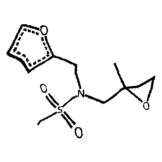 CC1(CN(Cc2ccco2)S(C)(=O)=O)CO1